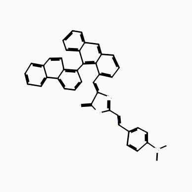 CN(C)c1ccc(/C=C/C2=NC(=C\c3cccc4cc5ccccc5c(-c5cccc6c5ccc5ccccc56)c34)/C(=O)O2)cc1